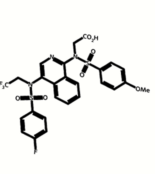 COc1ccc(S(=O)(=O)N(CC(=O)O)c2ncc(N(CC(F)(F)F)S(=O)(=O)c3ccc(F)cc3)c3ccccc23)cc1